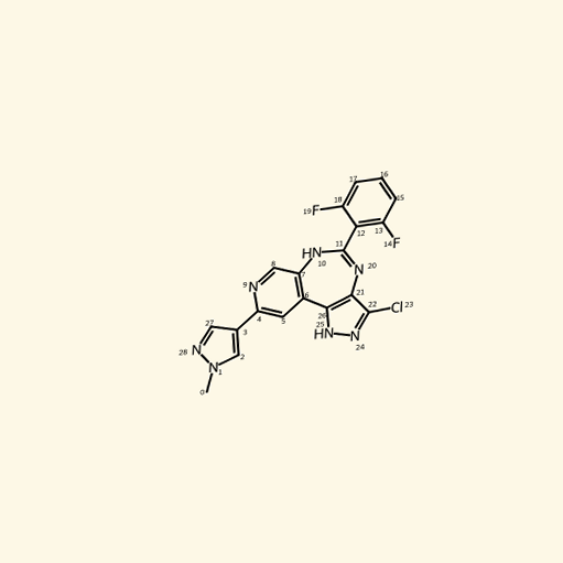 Cn1cc(-c2cc3c(cn2)NC(c2c(F)cccc2F)=Nc2c(Cl)n[nH]c2-3)cn1